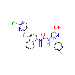 Cc1ccc(-n2nc(O)cc2NC(=O)Nc2ccc(Oc3ccnc(Cl)n3)c3ccccc23)cc1